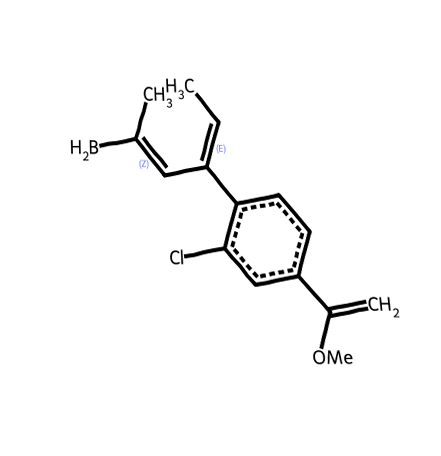 B/C(C)=C/C(=C\C)c1ccc(C(=C)OC)cc1Cl